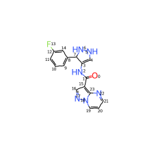 O=C(NC1=CNNC1c1cccc(F)c1)c1cnn2cccnc12